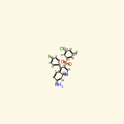 Nc1ccc2c(-c3ccc(F)cc3)c(S(=O)(=O)c3cc(F)cc(Cl)c3)cnc2c1